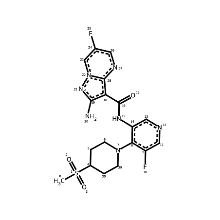 CS(=O)(=O)C1CCN(c2c(F)cncc2NC(=O)c2c(N)nn3cc(F)cnc23)CC1